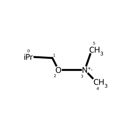 CC(C)CO[N+](C)C